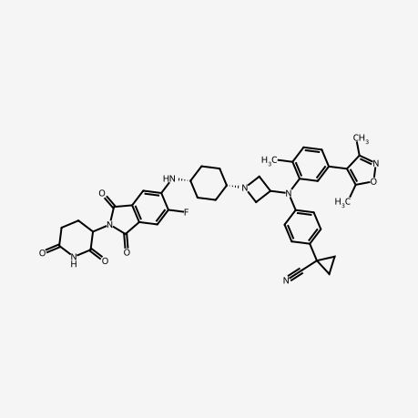 Cc1ccc(-c2c(C)noc2C)cc1N(c1ccc(C2(C#N)CC2)cc1)C1CN([C@H]2CC[C@@H](Nc3cc4c(cc3F)C(=O)N(C3CCC(=O)NC3=O)C4=O)CC2)C1